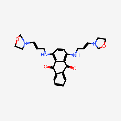 O=C1c2ccccc2C(=O)c2c(NCC=CN3CCOC3)ccc(NCC=CN3CCOC3)c21